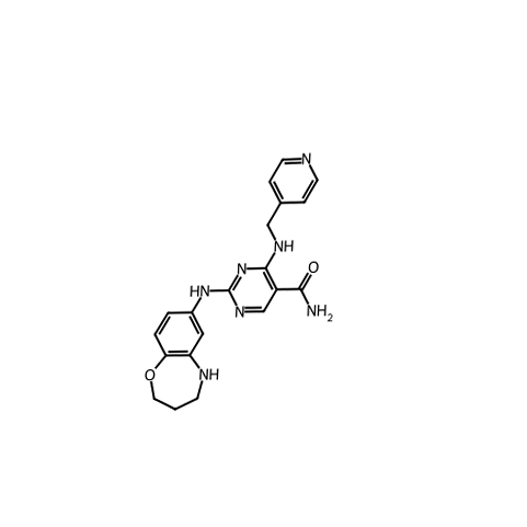 NC(=O)c1cnc(Nc2ccc3c(c2)NCCCO3)nc1NCc1ccncc1